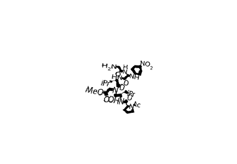 COC(=O)CN(C(=O)[C@H](CC(C)C)NC(=O)[C@@H](NC(=O)CN)Nc1ccc([N+](=O)[O-])cc1)C(=O)[C@H](CC(C)C)NC(=O)[C@@H]1CCCN1C(C)=O